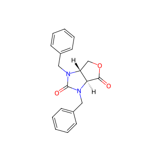 O=C1OC[C@@H]2[C@@H]1N(Cc1ccccc1)C(=O)N2Cc1ccccc1